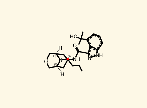 CCCCN1[C@@H]2COC[C@H]1C[C@@H](NC(=O)c1n[nH]c3cccc(C(C)(C)O)c13)C2